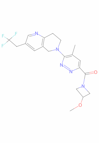 COC1CN(C(=O)c2cc(C)c(N3CCc4ncc(CC(F)(F)F)cc4C3)nn2)C1